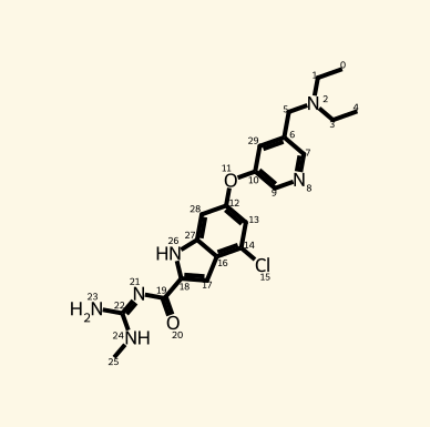 CCN(CC)Cc1cncc(Oc2cc(Cl)c3cc(C(=O)N=C(N)NC)[nH]c3c2)c1